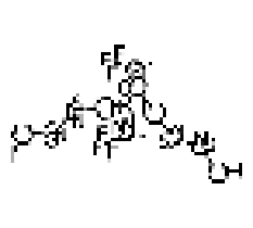 Cc1cc(C(F)(F)F)nn1CC(C(=O)C(Cn1nc(C(F)(F)F)cc1C)N1CCC(c2nc(C3=NOC(c4cccc(I)c4)C3)cs2)CC1)N1CCC(c2nc(C3=NOC(c4cccc(I)c4)C3)cs2)CC1